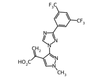 C=C(C(=O)O)c1cn(C)nc1-n1cnc(-c2cc(C(F)(F)F)cc(C(F)(F)F)c2)n1